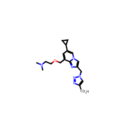 CN(C)CCOCc1cc(C2CC2)cn2cc(Cn3cc(C(=O)O)nn3)nc12